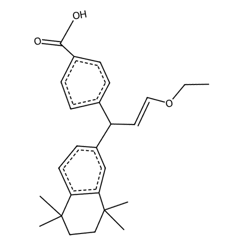 CCOC=CC(c1ccc(C(=O)O)cc1)c1ccc2c(c1)C(C)(C)CCC2(C)C